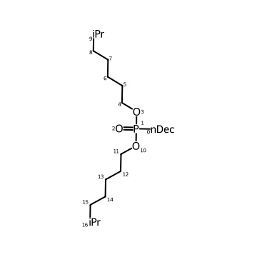 CCCCCCCCCCP(=O)(OCCCCCC(C)C)OCCCCCC(C)C